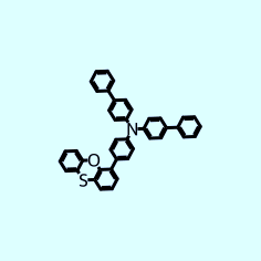 c1ccc(-c2ccc(N(c3ccc(-c4ccccc4)cc3)c3ccc(-c4cccc5c4Oc4ccccc4S5)cc3)cc2)cc1